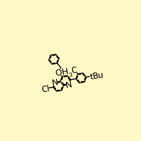 Cc1cc(C(C)(C)C)ccc1-c1cc(OCc2ccccc2)c2nc(Cl)ccc2n1